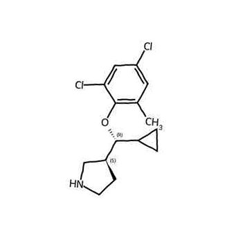 Cc1cc(Cl)cc(Cl)c1O[C@H](C1CC1)[C@H]1CCNC1